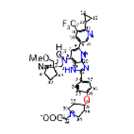 COCC1(CN(C)c2cc(-c3cnc(C4CC4)c(C(F)(F)F)c3)nc3nc(-c4ccc(OC5CCN(CC(=O)[O-])CC5)cc4)[nH]c23)CCCC1.[Na+]